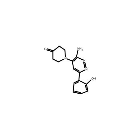 Nc1nnc(-c2ccccc2O)cc1N1CCC(=O)CC1